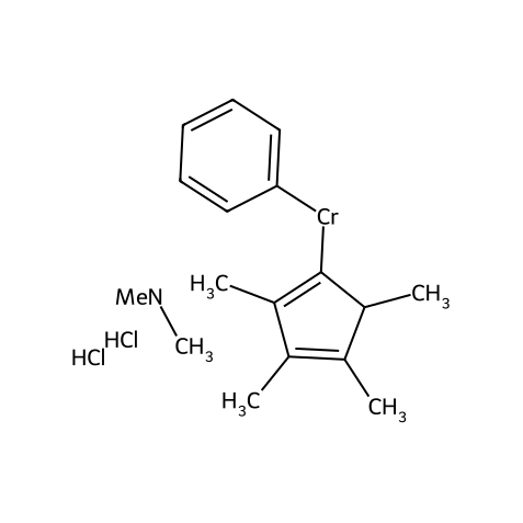 CC1=C(C)C(C)[C]([Cr][c]2ccccc2)=C1C.CNC.Cl.Cl